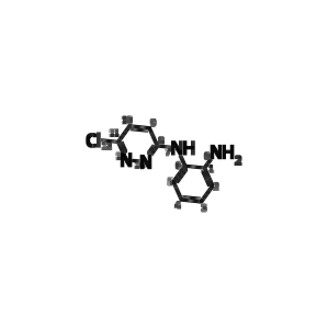 Nc1ccccc1Nc1ccc(Cl)nn1